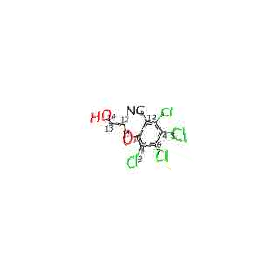 N#Cc1c(Cl)c(Cl)c(Cl)c(Cl)c1OCCO